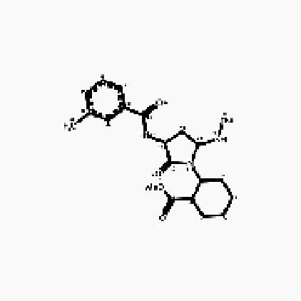 COC(=O)C1CCCCC1N1C(=O)C(NC(=O)c2cccc(C(F)(F)F)c2)CC1NC(C)(C)C